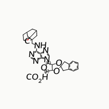 O=C(O)[C@H]1O[C@@H](n2cnc3c(NCC45CC6CC(CC(C6)C4)C5)ncnc32)C2OC3(Cc4ccccc4C3)OC21